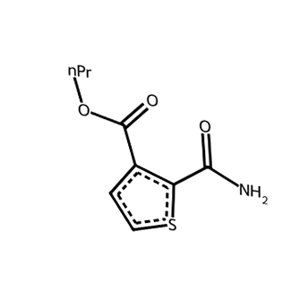 CCCOC(=O)c1ccsc1C(N)=O